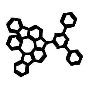 c1ccc(-c2nc(-c3ccccc3)nc(-n3c4ccc5c6ccccc6oc5c4c4c3ccc3c5ccccc5n(-c5ccccc5)c34)n2)cc1